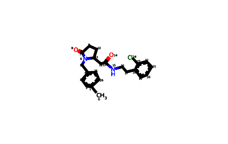 Cc1ccc(CN2C(=O)CCC2CC(=O)NCCc2ccccc2Cl)cc1